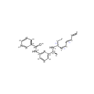 C=C/C=C/C=N\C(=C/C)N[C@@H](C)c1cccc(NC(=O)c2cccnc2)c1